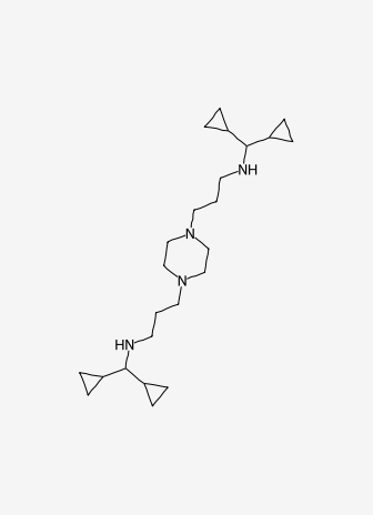 C(CNC(C1CC1)C1CC1)CN1CCN(CCCNC(C2CC2)C2CC2)CC1